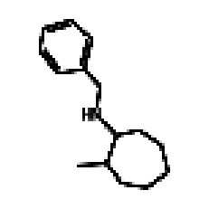 CC1CCCCCC1NCc1ccccc1